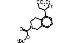 CCOC(=O)CC(CC)c1cccc2c1CCN(C(=O)OC(C)(C)C)C2